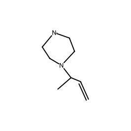 C=CC(C)N1CC[N]CC1